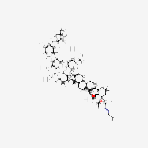 CCC/C=C/C(=O)OC1CC(C)(C)C[C@@H]2C13[C@H](O)O[C@@]21CCC2[C@@]4(C)CC[C@H](O[C@@H]5O[C@H](C(=O)O)[C@@H](O)[C@H](O[C@@H]6O[C@H](CO)[C@H](O)[C@H](O)C6O[C@@H]6O[C@@H](C)[C@H](O)[C@@H](O)[C@H]6O[C@@H]6OC[C@](O)(CO)[C@H]6O)[C@H]5OC5O[C@H](CO)[C@H](O)[C@H](O)[C@H]5O)C(C)(C)C4CC[C@@]2(C)[C@]1(C)C[C@H]3OC(C)=O